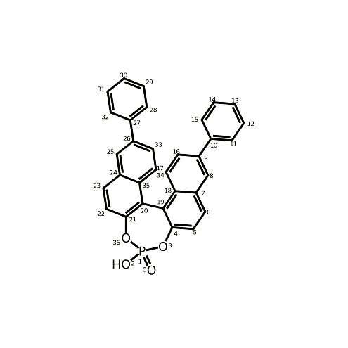 O=P1(O)Oc2ccc3cc(-c4ccccc4)ccc3c2-c2c(ccc3cc(-c4ccccc4)ccc23)O1